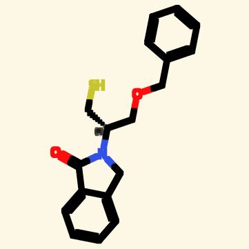 O=C1c2ccccc2CN1[C@H](CS)COCc1ccccc1